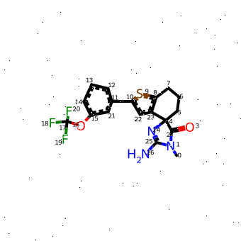 CN1C(=O)C2(CCCc3sc(-c4cccc(OC(F)(F)F)c4)cc32)N=C1N